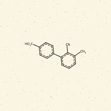 Cc1cccc(-c2ccc(C(=O)O)cc2)c1C#N